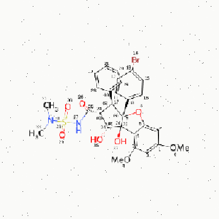 COc1cc(OC)c2c(c1)O[C@@]1(c3ccc(Br)cc3)[C@H](c3ccccc3)[C@@H](C(=O)NS(=O)(=O)N(C)C)[C@@H](O)[C@@]21O